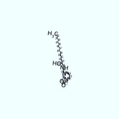 CCCCCCCCCCCCCCC(O)CNCCN1C#CCC=[N+](CC(=O)[O-])CC1